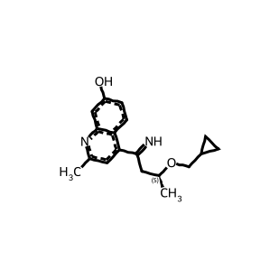 Cc1cc(C(=N)C[C@H](C)OCC2CC2)c2ccc(O)cc2n1